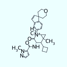 Cn1nccc1C(=O)N[C@@H]1C(=O)[N+](C)(c2ccc3c(c2)C=CC32CCOCC2)C2CC2(C)C1C1CCC1